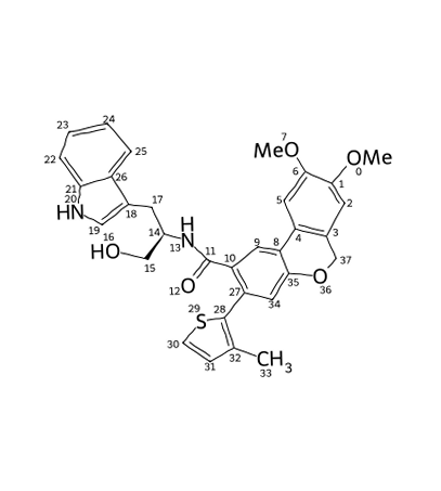 COc1cc2c(cc1OC)-c1cc(C(=O)N[C@@H](CO)Cc3c[nH]c4ccccc34)c(-c3sccc3C)cc1OC2